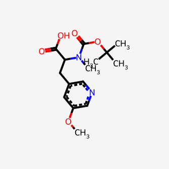 COc1cncc(CC(C(=O)O)N(C)C(=O)OC(C)(C)C)c1